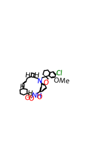 COc1cc2c(cc1Cl)CCC[C@]21COc2ccc3cc2N(C[C@@H]2CC[C@@H]2C/C=C/[C@@H]2CCC[C@H](C2)S(=O)(=O)NC3=O)C1